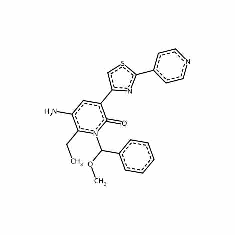 CCc1c(N)cc(-c2csc(-c3ccncc3)n2)c(=O)n1C(OC)c1ccccc1